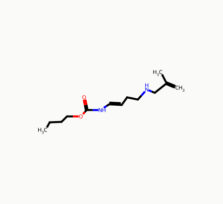 C=C(C)CNCCC=CNC(=O)OCCCC